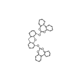 c1cc2c(c(Op3oc4ccccc4c4ccccc4o3)c1)Oc1c(cccc1Op1oc3ccccc3c3ccccc3o1)C2